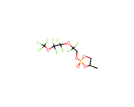 CC1COP(=O)(OCC(F)(F)OC(F)(F)C(F)(F)OC(F)(F)F)O1